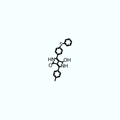 Cc1ccc(C2=C3C(=O)NC(c4ccc(Sc5ccccc5)cc4)=C3C(O)N2)cc1